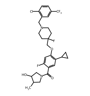 CC1CN(C(=O)c2cc(C3CC3)c(OCC3(F)CCN(Cc4cc(C(F)(F)F)ccc4Cl)CC3)cc2F)CC1O